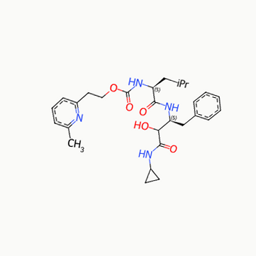 Cc1cccc(CCOC(=O)N[C@@H](CC(C)C)C(=O)N[C@@H](Cc2ccccc2)C(O)C(=O)NC2CC2)n1